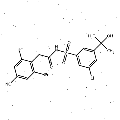 CC(C)c1cc(C#N)cc(C(C)C)c1CC(=O)NS(=O)(=O)c1cc(Cl)cc(C(C)(C)O)c1